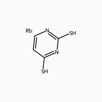 Sc1ccnc(S)n1.[Rb]